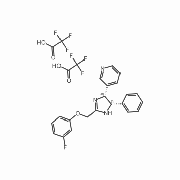 Fc1cccc(OCC2=N[C@H](c3cccnc3)[C@H](c3ccccc3)N2)c1.O=C(O)C(F)(F)F.O=C(O)C(F)(F)F